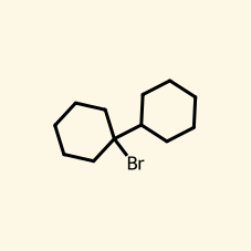 BrC1(C2CCCCC2)CCCCC1